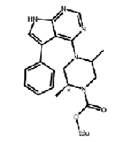 CC1CN(C(=O)OC(C)(C)C)[C@@H](C)CN1c1ncnc2[nH]cc(-c3ccccc3)c12